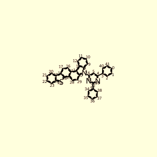 c1ccc(-c2cc(-n3c4ccccc4c4c5ccc6c7ccccc7sc6c5ccc43)nc(-c3ccccc3)n2)cc1